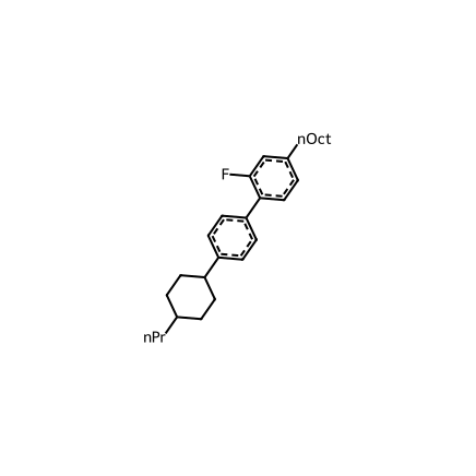 CCCCCCCCc1ccc(-c2ccc(C3CCC(CCC)CC3)cc2)c(F)c1